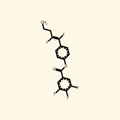 CCC/C(F)=C(\F)c1ccc(OC(=O)c2cc(F)c(F)c(F)c2)cc1